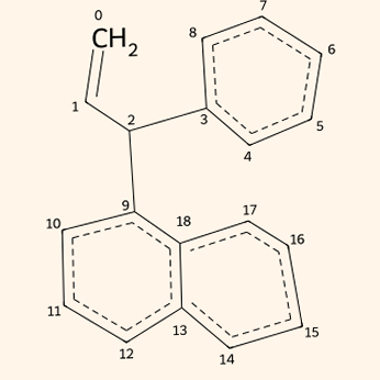 C=CC(c1ccccc1)c1cccc2ccccc12